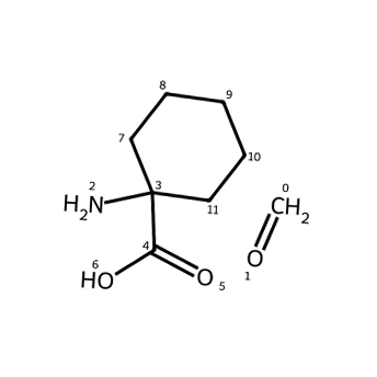 C=O.NC1(C(=O)O)CCCCC1